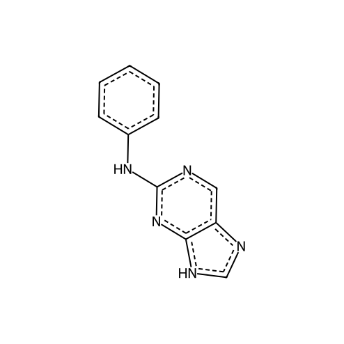 c1ccc(Nc2ncc3nc[nH]c3n2)cc1